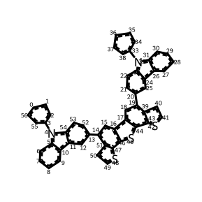 c1ccc(-n2c3ccccc3c3cc(-c4cc5c6cc(-c7ccc8c(c7)c7ccccc7n8-c7ccccc7)c7ccsc7c6sc5c5sccc45)ccc32)cc1